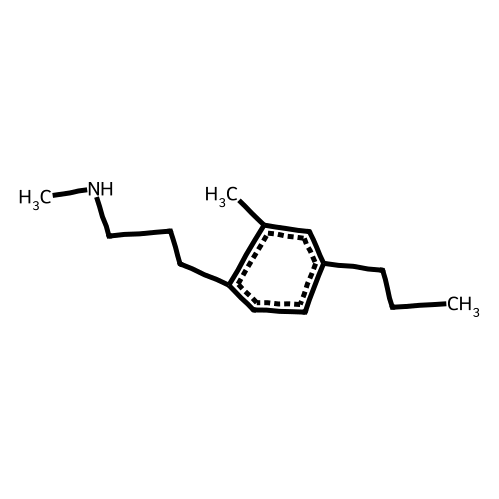 CCCc1ccc(CCCNC)c(C)c1